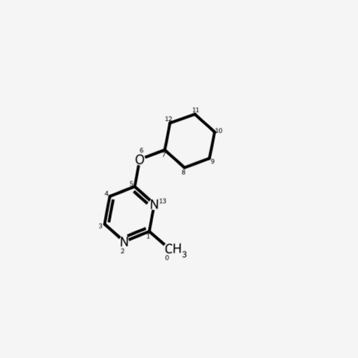 Cc1nccc(OC2CCCCC2)n1